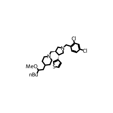 CCCCC(CC1CCN(C[C@H]2CN(Cc3ccc(Cl)cc3Cl)C[C@@H]2c2ccsc2)CC1)OC